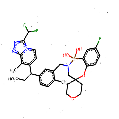 Cc1ccc(C(CC(=O)O)c2ccn3c(C(F)F)nnc3c2C)cc1CN1CC2(CCOCC2)Oc2ccc(F)cc2S1(O)O